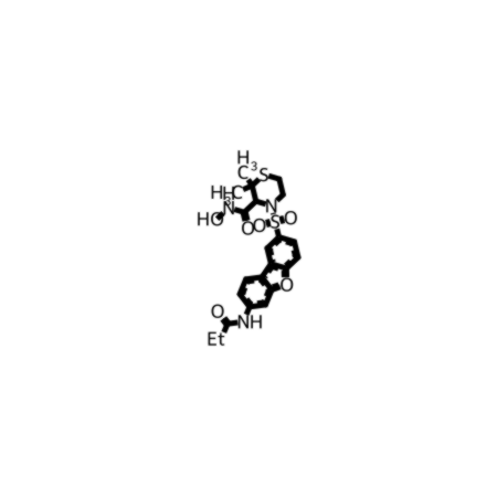 CCC(=O)Nc1ccc2c(c1)oc1ccc(S(=O)(=O)N3CCSC(C)(C)C3C(=O)NO)cc12